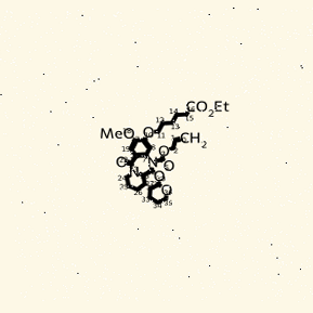 C=CCOC(=O)N1c2cc(OCCCCCC(=O)OCC)c(OC)cc2C(=O)N2CCCCC2C1OC1CCCCO1